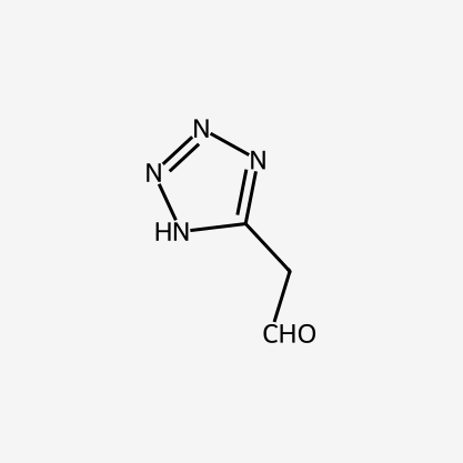 O=CCc1nnn[nH]1